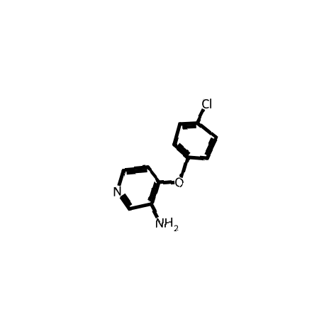 Nc1cnccc1Oc1ccc(Cl)cc1